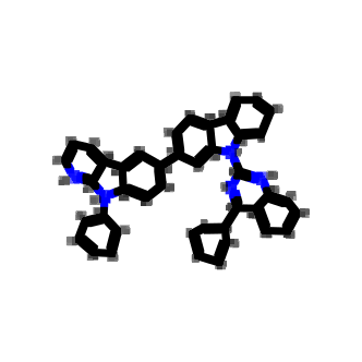 c1ccc(-c2nc(-n3c4ccccc4c4ccc(-c5ccc6c(c5)c5cccnc5n6-c5ccccc5)cc43)nc3ccccc23)cc1